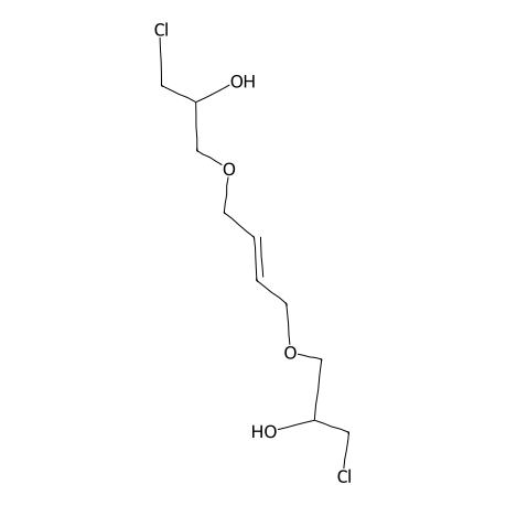 OC(CCl)COCC=CCOCC(O)CCl